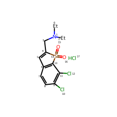 CCN(CC)CC1=Cc2ccc(Cl)c(Cl)c2S1(=O)=O.Cl